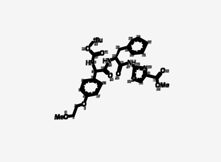 COCCOc1ccc(C(NC(=O)OC(C)(C)C)C(=O)N[C@@H](Cc2ccccc2)C(=O)Nc2nc(C(=O)OC)cs2)cc1